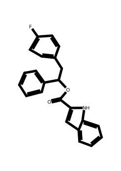 O=C(OC(Cc1ccc(F)cc1)c1ccccc1)c1cc2ccccc2[nH]1